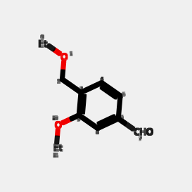 CCOCc1ccc(C=O)cc1OCC